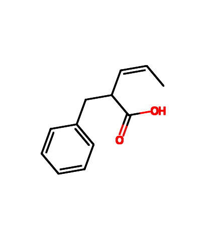 C/C=C\C(Cc1ccccc1)C(=O)O